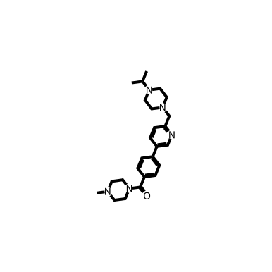 CC(C)N1CCN(Cc2ccc(-c3ccc(C(=O)N4CCN(C)CC4)cc3)cn2)CC1